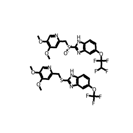 COc1cnc(CSc2nc3cc(OC(F)(F)F)ccc3[nH]2)cc1OC.COc1cnc(C[S+]([O-])c2nc3cc(OC(F)(F)C(F)F)ccc3[nH]2)cc1OC